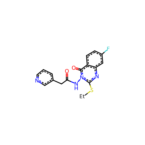 CCSc1nc2cc(F)ccc2c(=O)n1NC(=O)Cc1cccnc1